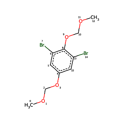 COCOc1cc(Br)c(OCOC)c(Br)c1